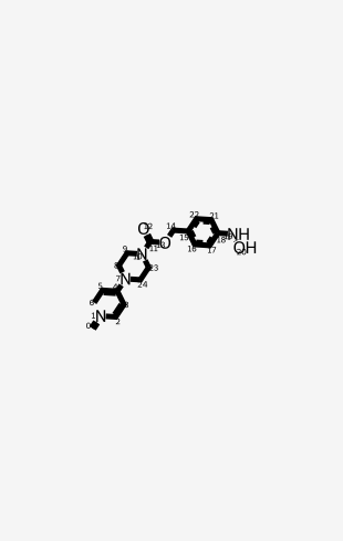 C=N/C=C\C(=C/C)N1CCN(C(=O)OCc2ccc(NO)cc2)CC1